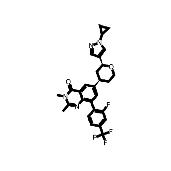 Cc1nc2c(-c3ccc(C(F)(F)F)cc3F)cc([C@@H]3CCO[C@H](c4cnn(C5CC5)c4)C3)cc2c(=O)n1C